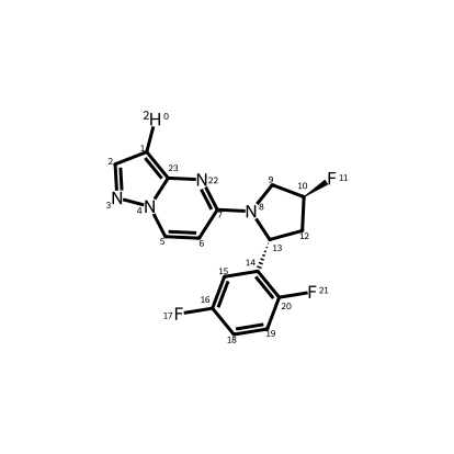 [2H]c1cnn2ccc(N3C[C@@H](F)C[C@@H]3c3cc(F)ccc3F)nc12